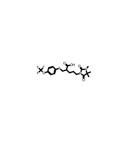 CN1C(=O)N(CCCC(CSc2ccc(OC(F)(F)F)cc2)C(=O)O)C(=O)C1(C)C